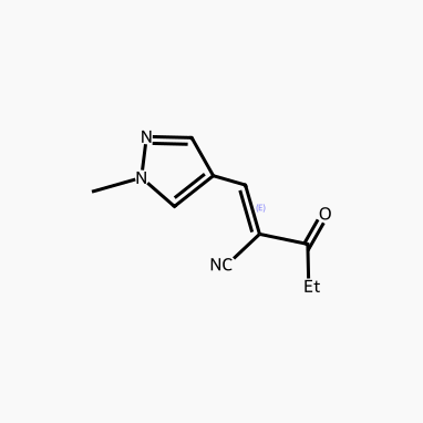 CCC(=O)/C(C#N)=C/c1cnn(C)c1